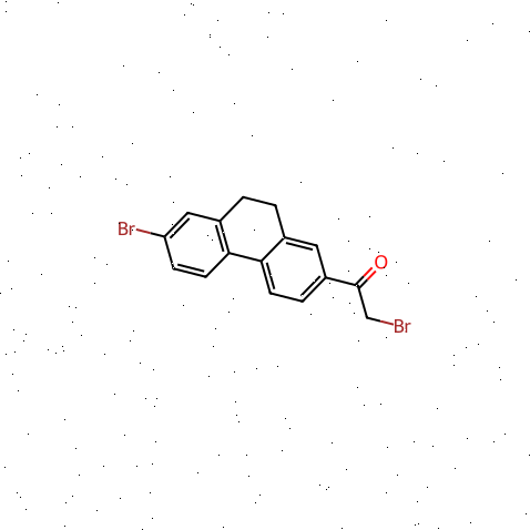 O=C(CBr)c1ccc2c(c1)CCc1cc(Br)ccc1-2